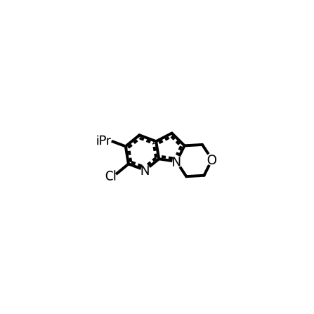 CC(C)c1cc2cc3n(c2nc1Cl)CCOC3